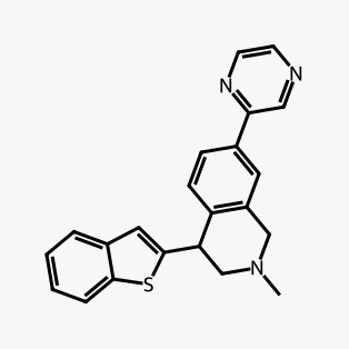 CN1Cc2cc(-c3cnccn3)ccc2C(c2cc3ccccc3s2)C1